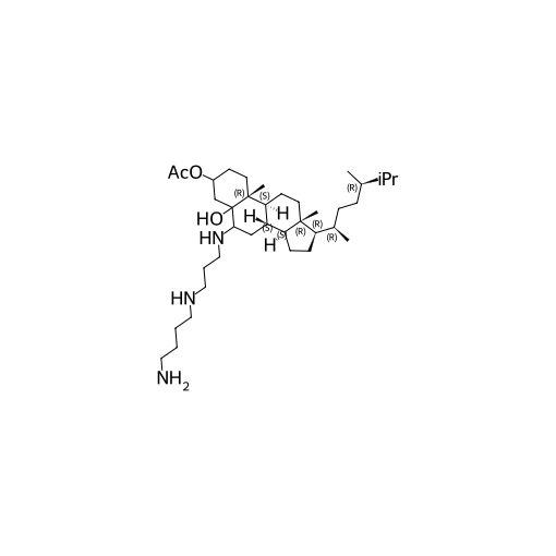 CC(=O)OC1CC[C@]2(C)[C@H]3CC[C@]4(C)[C@@H]([C@H](C)CC[C@@H](C)C(C)C)CC[C@H]4[C@@H]3CC(NCCCNCCCCN)C2(O)C1